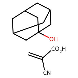 C=C(C#N)C(=O)O.OC12CC3CC(CC(C3)C1)C2